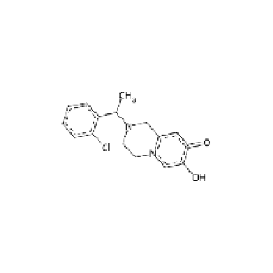 CC(c1ccccc1Cl)N1CCn2cc(O)c(=O)cc2C1